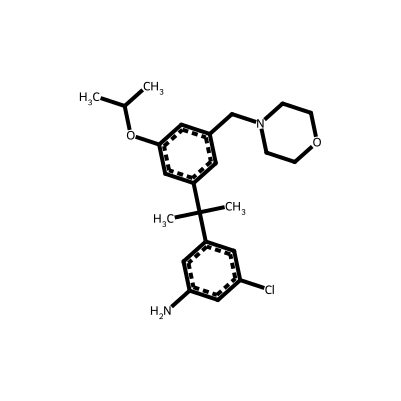 CC(C)Oc1cc(CN2CCOCC2)cc(C(C)(C)c2cc(N)cc(Cl)c2)c1